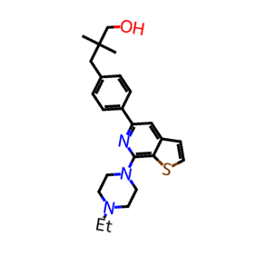 CCN1CCN(c2nc(-c3ccc(CC(C)(C)CO)cc3)cc3ccsc23)CC1